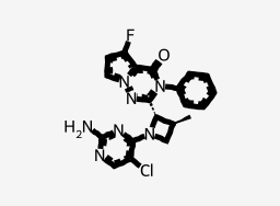 C[C@H]1CN(c2nc(N)ncc2Cl)[C@@H]1c1nn2ccc(F)c2c(=O)n1-c1ccccc1